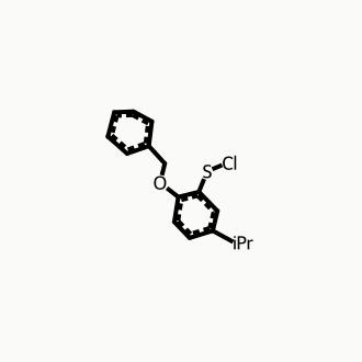 CC(C)c1ccc(OCc2ccccc2)c(SCl)c1